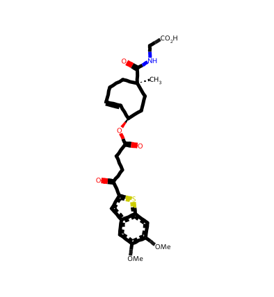 COc1cc2cc(C(=O)CCC(=O)O[C@H]3/C=C/CC[C@@](C)(C(=O)NCC(=O)O)CC3)sc2cc1OC